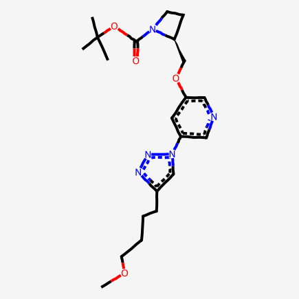 COCCCCc1cn(-c2cncc(OC[C@@H]3CCN3C(=O)OC(C)(C)C)c2)nn1